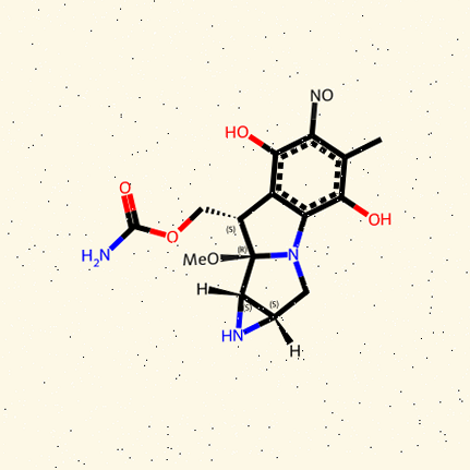 CO[C@@]12[C@H](COC(N)=O)c3c(O)c(N=O)c(C)c(O)c3N1C[C@@H]1N[C@@H]12